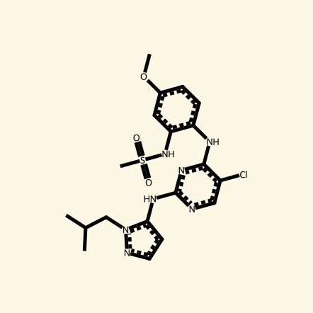 COc1ccc(Nc2nc(Nc3ccnn3CC(C)C)ncc2Cl)c(NS(C)(=O)=O)c1